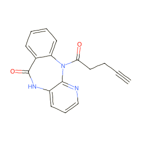 C#CCCC(=O)N1c2ccccc2C(=O)Nc2cccnc21